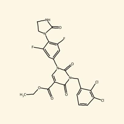 CCOC(=O)c1cn(-c2cc(F)c(N3CCNC3=O)c(F)c2)c(=O)n(Cc2cccc(Cl)c2Cl)c1=O